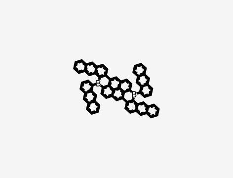 c1ccc2cc3c(B4c5c(ccc6cc7ccccc7cc56)-c5cc6ccc7c8c(cc9ccc4c5c9c68)-c4ccc5cc6ccccc6cc5c4B7c4cccc5cc6ccccc6cc45)cccc3cc2c1